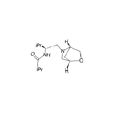 CC(C)C(=O)N[C@H](CN1C[C@@H]2C[C@H]1CO2)C(C)C